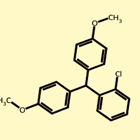 COc1ccc(C(c2ccc(OC)cc2)c2ccccc2Cl)cc1